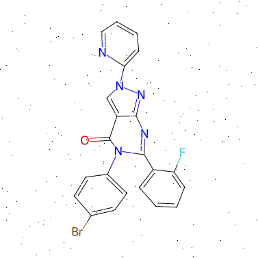 O=c1c2cn(-c3ccccn3)nc2nc(-c2ccccc2F)n1-c1ccc(Br)cc1